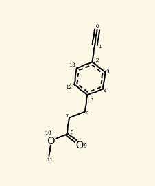 C#Cc1ccc(CCC(=O)OC)cc1